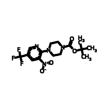 CC(C)(C)OC(=O)N1CCN(c2ncc(C(F)(F)F)cc2[N+](=O)[O-])CC1